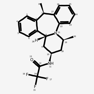 C[C@@H]1c2ccccc2[C@H]2C[C@H](NC(=O)C(F)(F)F)C[C@H](C)N2c2ccccc21